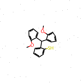 COc1ccccc1C(c1ccccc1S)c1ccccc1OC